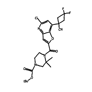 CC(C)(C)OC(=O)N1CCN(C(=O)c2cc3nc(Cl)cc(C4(C#N)CC(F)(F)C4)c3o2)C(C)(C)C1